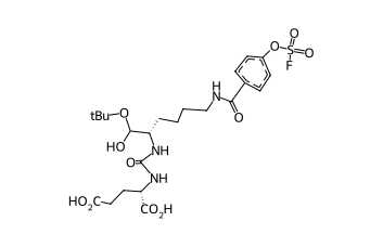 CC(C)(C)OC(O)[C@H](CCCCNC(=O)c1ccc(OS(=O)(=O)F)cc1)NC(=O)N[C@@H](CCC(=O)O)C(=O)O